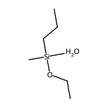 CCC[Si](C)(C)OCC.O